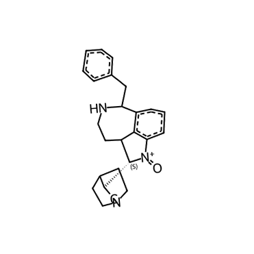 O=[N+]1c2cccc3c2C(CCNC3Cc2ccccc2)[C@H]1C1CN2CCC1CC2